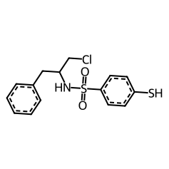 O=S(=O)(NC(CCl)Cc1ccccc1)c1ccc(S)cc1